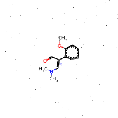 COc1ccccc1/C(C=O)=C/N(C)C